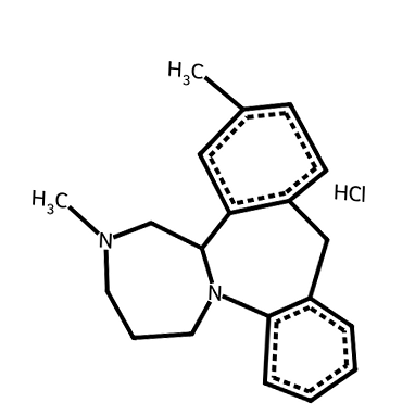 Cc1ccc2c(c1)C1CN(C)CCCN1c1ccccc1C2.Cl